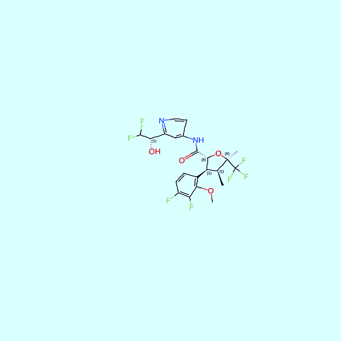 COc1c([C@H]2[C@H](C(=O)Nc3ccnc([C@H](O)C(F)F)c3)O[C@@](C)(C(F)(F)F)[C@H]2C)ccc(F)c1F